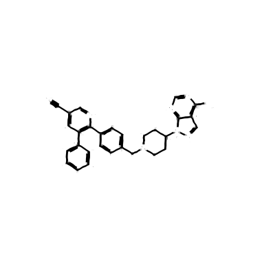 N#Cc1cnc(-c2ccc(CN3CCC(n4ncc5c(O)ncnc54)CC3)cc2)c(-c2ccccc2)c1